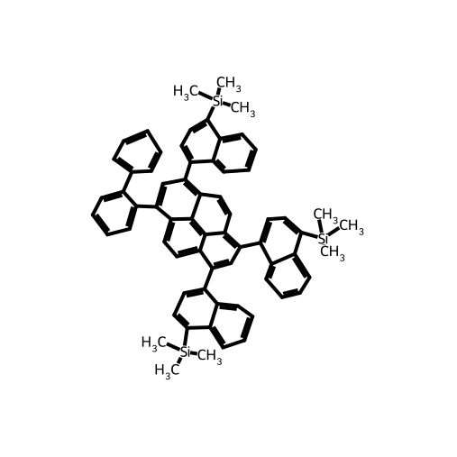 C[Si](C)(C)c1ccc(-c2cc(-c3ccccc3-c3ccccc3)c3ccc4c(-c5ccc([Si](C)(C)C)c6ccccc56)cc(-c5ccc([Si](C)(C)C)c6ccccc56)c5ccc2c3c45)c2ccccc12